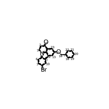 O=c1ccn2c3ccc(Br)cc3c3cc(OCc4ccccc4)cc1c32